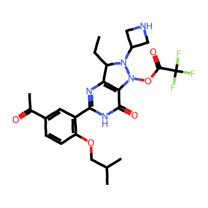 CCC1c2nc(-c3cc(C(C)=O)ccc3OCC(C)C)[nH]c(=O)c2N(OC(=O)C(F)(F)F)N1C1CNC1